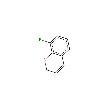 Fc1cccc2c1SCC=C2